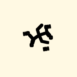 CCC(CC)(C(=O)O)C(=O)O.[KH]